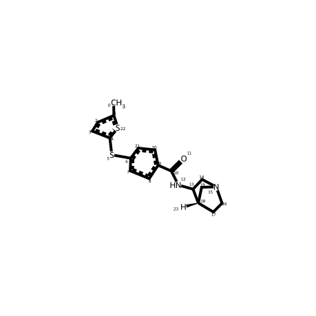 Cc1ccc(Sc2ccc(C(=O)NC3CN4CC[C@H]3C4)cc2)s1